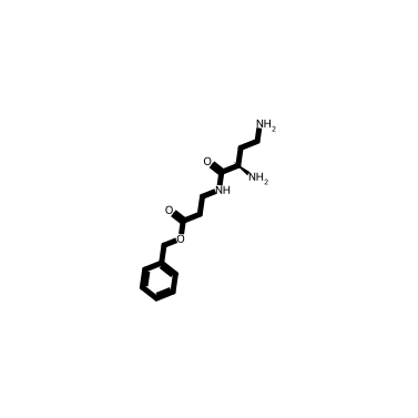 NCC[C@@H](N)C(=O)NCCC(=O)OCc1ccccc1